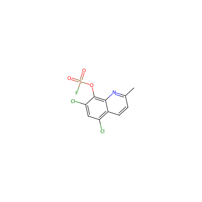 Cc1ccc2c(Cl)cc(Cl)c(OS(=O)(=O)F)c2n1